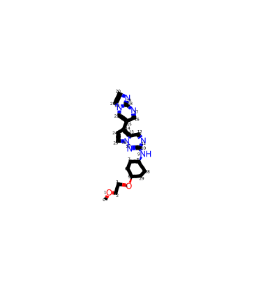 COCCO[C@H]1CC[C@@H](Nc2ncc3c(-c4cnc5nccn5c4)ccn3n2)CC1